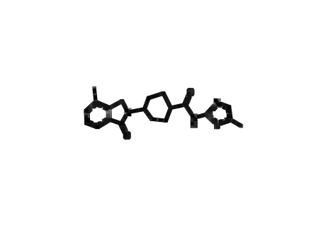 Cc1cnc(NC(=O)C2CCC(N3Cc4c(C)cccc4C3=O)CC2)s1